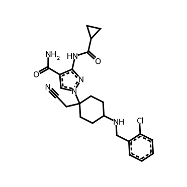 N#CCC1(n2cc(C(N)=O)c(NC(=O)C3CC3)n2)CCC(NCc2ccccc2Cl)CC1